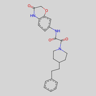 O=C1COc2cc(NC(=O)C(=O)N3CCC(CCc4ccccc4)CC3)ccc2N1